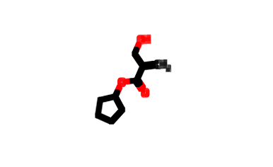 C=C(CO)C(=O)OC1CCCC1